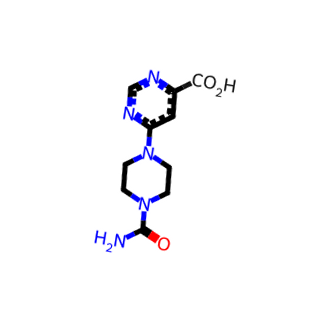 NC(=O)N1CCN(c2cc(C(=O)O)ncn2)CC1